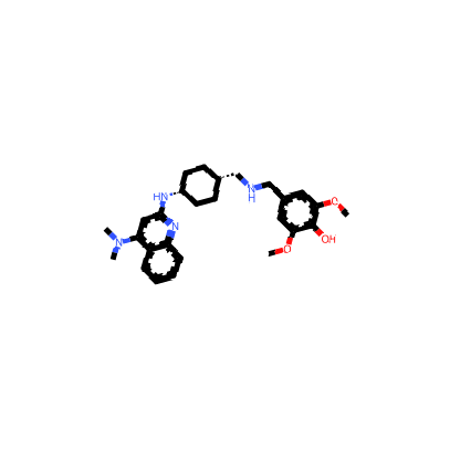 COc1cc(CNC[C@H]2CC[C@@H](Nc3cc(N(C)C)c4ccccc4n3)CC2)cc(OC)c1O